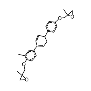 Cc1cc(C2=CCC(c3ccc(OCC4(C)CO4)cc3)C=C2)ccc1OCC1(C)CO1